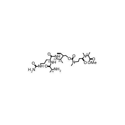 C=CC(COC(=O)N(C)CCC(=O)N(C)[C@@H](C)C(=O)OC)[C@@H](C)[C@H](C)NC(=O)[C@H](CCCNC(N)=O)NC(=O)[C@H](C)N